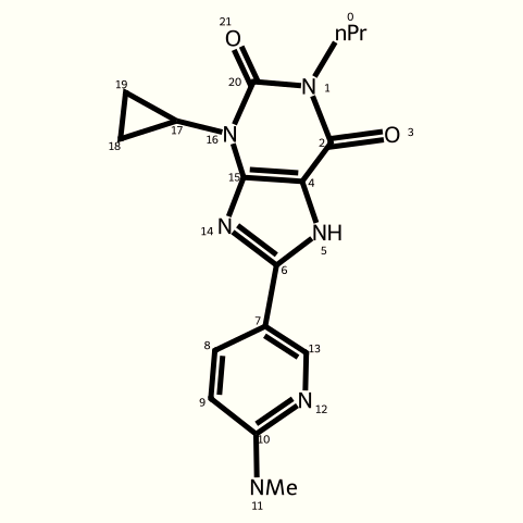 CCCn1c(=O)c2[nH]c(-c3ccc(NC)nc3)nc2n(C2CC2)c1=O